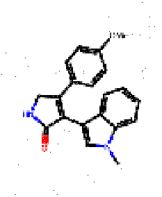 COc1ccc(C2=C(c3cn(C)c4ccccc34)C(=O)NC2)cc1